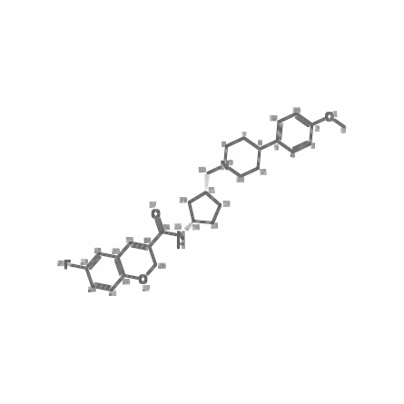 COc1ccc(C2CCN(C[C@@H]3CC[C@H](NC(=O)C4=Cc5cc(F)ccc5OC4)C3)CC2)cc1